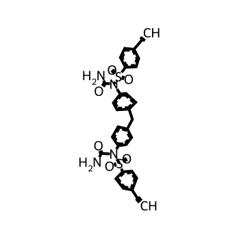 C#Cc1ccc(S(=O)(=O)N(C(N)=O)c2ccc(Cc3ccc(N(C(N)=O)S(=O)(=O)c4ccc(C#C)cc4)cc3)cc2)cc1